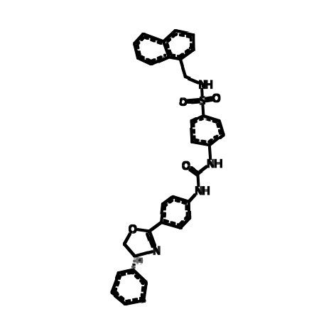 O=C(Nc1ccc(C2=N[C@H](c3ccccc3)CO2)cc1)Nc1ccc(S(=O)(=O)NCc2cccc3ccccc23)cc1